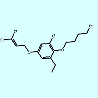 CCc1cc(OCC=C(Cl)Cl)cc(Cl)c1OCCCCBr